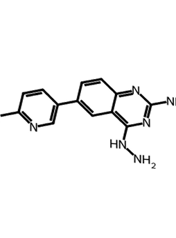 NNc1nc(N)nc2ccc(-c3ccc(Cl)nc3)cc12